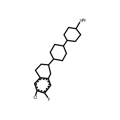 CCCC1CCC(C2CCC(C3CCc4cc(Cl)c(F)cc4C3)CC2)CC1